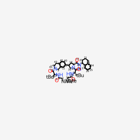 CNCC(=O)NC(C(=O)N1Cc2cc(C3C[C@@H](C(=O)N[C@@H]4CCCc5ccccc54)N(C(=O)[C@@H](NC(=O)CNC)C(C)(C)C)C3)ccc2C[C@H]1C)C(C)(C)C